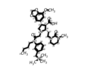 CCCCN(C(=O)CN1C[C@H](c2cc(OC)c3c(c2)OCO3)[C@@H](C(=O)O)[C@@H]1CCN1CCCN(C)C1=O)c1cccc(C[N+](C)(C)C)c1